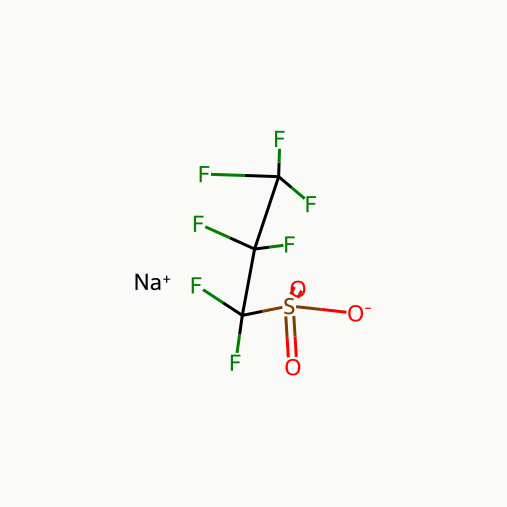 O=S(=O)([O-])C(F)(F)C(F)(F)C(F)(F)F.[Na+]